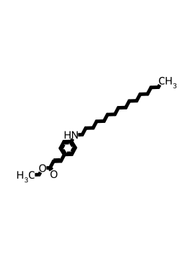 CCCCCCCCCCCCCCCCNc1ccc(C=CC(=O)OCC)cc1